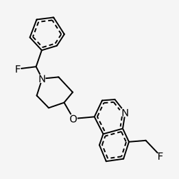 FCc1cccc2c(OC3CCN(C(F)c4ccccc4)CC3)ccnc12